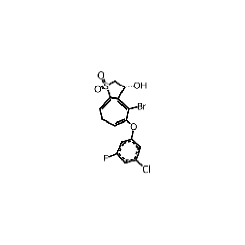 O=S1(=O)C[C@H](O)C2=C(Br)C(Oc3cc(F)cc(Cl)c3)=CCC=C21